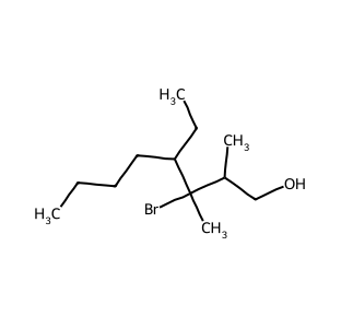 CCCCC(CC)C(C)(Br)C(C)CO